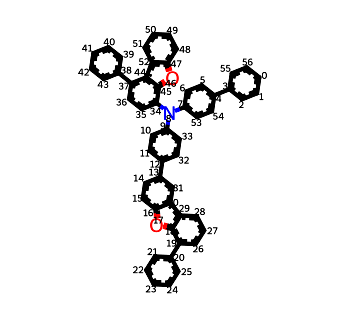 c1ccc(-c2ccc(N(c3ccc(-c4ccc5oc6c(-c7ccccc7)cccc6c5c4)cc3)c3ccc(-c4ccccc4)c4c3oc3ccccc34)cc2)cc1